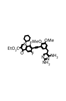 CCOC(=O)c1cn(C2CCCCC2)c2c(F)c(C#Cc3cc(Cc4cnc(N)nc4N)cc(OC)c3OC)c(F)cc2c1=O